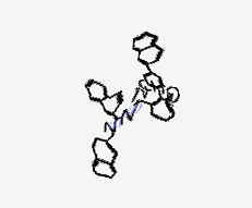 C=N/C(=N\C(=N/Cc1ccc2ccccc2c1)c1ccc2ccccc2c1)c1cccc2oc3cc(-c4ccc5ccccc5c4)ccc3c12